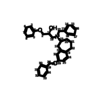 O[C@H](COc1ccccc1)CN(Cc1ccccc1)C1CCCc2ccc(OCc3ccccc3)cc2C1